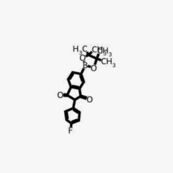 CC1(C)OB(c2ccc3c(c2)C(=O)C(c2ccc(F)cc2)C3=O)OC1(C)C